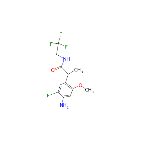 COc1cc(N)c(F)cc1C(C)C(=O)NCC(F)(F)F